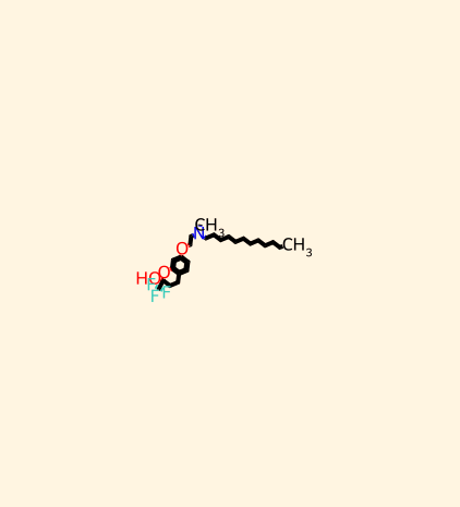 CCCCCCCCCCCCN(C)CCOc1ccc2c(c1)OC(O)(C(F)(F)F)CC2